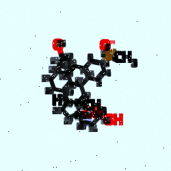 C[S+]([O-])c1ccc2c(c1)C[C@]13CCC(=O)C=C1CCC1=C3C2C[C@@]2(C)[C@H]1CC[C@@]2(O)/C=C\CO